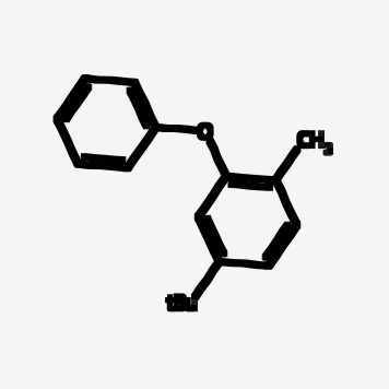 Cc1ccc(C(C)(C)C)cc1Oc1ccccc1